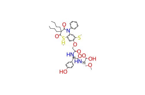 CCCCC1(CCCC)C(=O)[SH]c2cc(OCC(=O)N[C@@H](C(=O)N[C@@H](COC)C(=O)O)c3ccc(O)cc3)c(SC)cc2N(c2ccccc2)C1=O